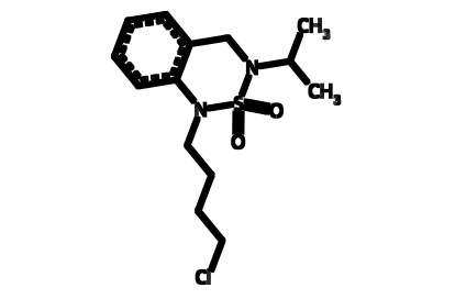 CC(C)N1Cc2ccccc2N(CCCCCl)S1(=O)=O